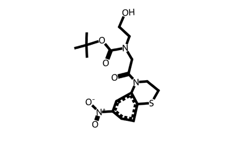 CC(C)(C)OC(=O)N(CCO)CC(=O)N1CCSc2ccc([N+](=O)[O-])cc21